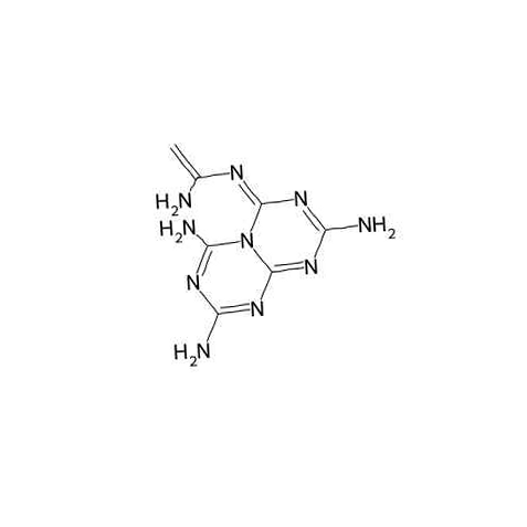 C=C(N)/N=c1/nc(N)nc2nc(N)nc(N)n12